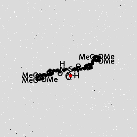 COc1cc(OC)c(OC)cc1C=Cc1cc[n+](CCCC(=O)NCCSSCCNC(=O)CCC[n+]2ccc(C=Cc3cc(OC)c(OC)cc3OC)cc2)cc1.[Cl-].[Cl-]